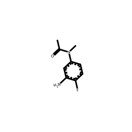 CC(=O)N(C)c1ccc(F)c(N)c1